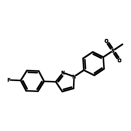 CS(=O)(=O)c1ccc(-n2ccc(-c3ccc(F)cc3)n2)cc1